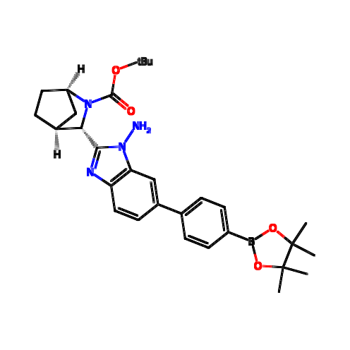 CC(C)(C)OC(=O)N1[C@@H]2CC[C@@H](C2)[C@H]1c1nc2ccc(-c3ccc(B4OC(C)(C)C(C)(C)O4)cc3)cc2n1N